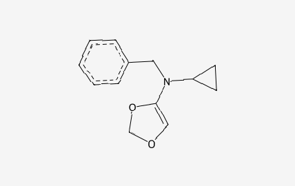 C1=C(N(Cc2ccccc2)C2CC2)OCO1